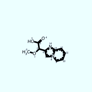 COC(C(=O)O)c1cn2ccccc2n1